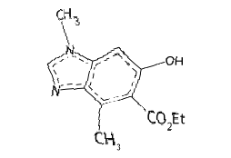 CCOC(=O)c1c(O)cc2c(ncn2C)c1C